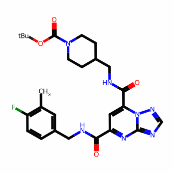 Cc1cc(CNC(=O)c2cc(C(=O)NCC3CCN(C(=O)OC(C)(C)C)CC3)n3ncnc3n2)ccc1F